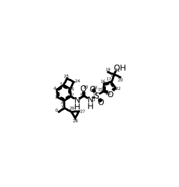 CC(c1ccc2c(c1NC(=O)NS(=O)(=O)c1cc(C(C)(C)O)co1)CC2)C1CC1